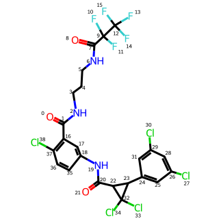 O=C(NCCCNC(=O)C(F)(F)C(F)(F)F)c1cc(NC(=O)C2C(c3cc(Cl)cc(Cl)c3)C2(Cl)Cl)ccc1Cl